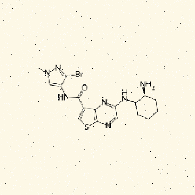 Cn1cc(NC(=O)c2csc3ncc(N[C@@H]4CCCC[C@@H]4N)nc23)c(Br)n1